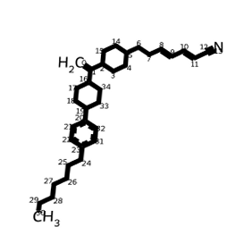 C=C(C1CCC(CCC=CC=CC#N)CC1)C1CCC(c2ccc(CCCCCCC)cc2)CC1